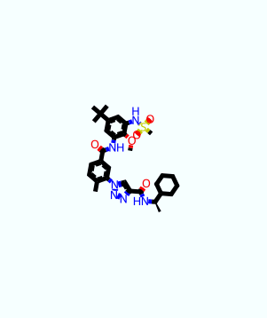 COc1c(NC(=O)c2ccc(C)c(-n3cc(C(=O)N[C@H](C)C4CCCCC4)nn3)c2)cc(C(C)(C)C)cc1NS(C)(=O)=O